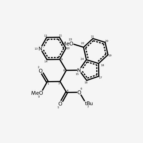 COC(=O)C(C(=O)OC(C)(C)C)C(c1cccnc1)n1ccc2cccc(OC)c21